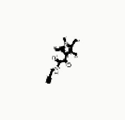 C#CCNC(=O)C(=O)c1c(C)c(C)n(C)c1C